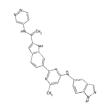 C=C(Nc1ccnnc1)c1cc2ccc(-c3nc(C)cc(Nc4ccc5[nH]ncc5c4)n3)cc2[nH]1